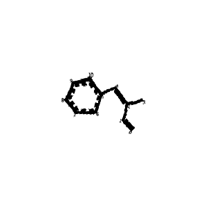 C=CC(C)=Cc1ccccc1